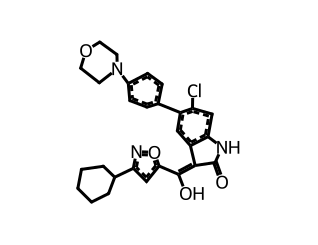 O=C1Nc2cc(Cl)c(-c3ccc(N4CCOCC4)cc3)cc2/C1=C(/O)c1cc(C2CCCCC2)no1